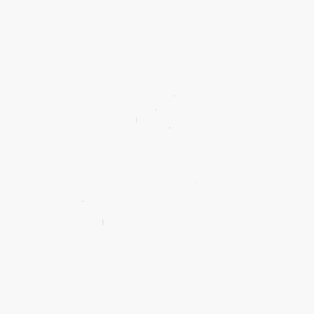 O=COCc1cc(OC(F)(F)F)ccc1OC(F)(F)F